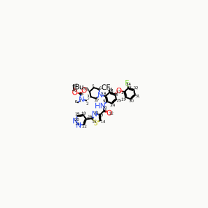 CN(C[C@@H]1CCCN(c2c(NC(=O)c3csc(-c4ccnnc4)n3)ccc(Oc3ccccc3F)c2C(F)(F)F)C1)C(=O)OC(C)(C)C